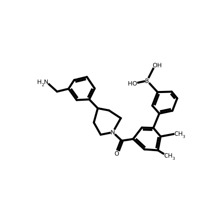 Cc1cc(C(=O)N2CCC(c3cccc(CN)c3)CC2)cc(-c2cccc(B(O)O)c2)c1C